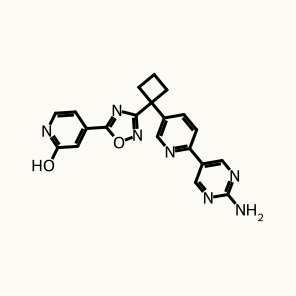 Nc1ncc(-c2ccc(C3(c4noc(-c5ccnc(O)c5)n4)CCC3)cn2)cn1